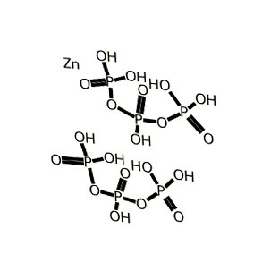 O=P(O)(O)OP(=O)(O)OP(=O)(O)O.O=P(O)(O)OP(=O)(O)OP(=O)(O)O.[Zn]